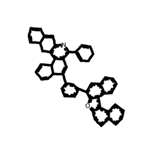 C1=CC2=Cc3nc(C4=CCCC=C4)c4c(c3CC2C=C1)C1C=CC=CC1C(c1cccc(-c2cc3ccccc3c3c2oc2ccc5ccccc5c23)c1)=C4